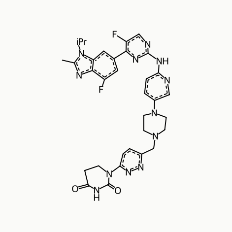 Cc1nc2c(F)cc(-c3nc(Nc4ccc(N5CCN(Cc6ccc(N7CCC(=O)NC7=O)nn6)CC5)cn4)ncc3F)cc2n1C(C)C